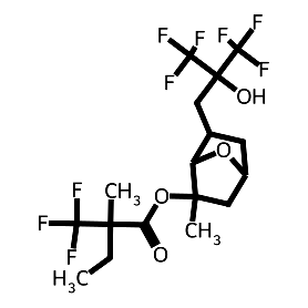 CCC(C)(C(=O)OC1(C)CC2CC(CC(O)(C(F)(F)F)C(F)(F)F)C1O2)C(F)(F)F